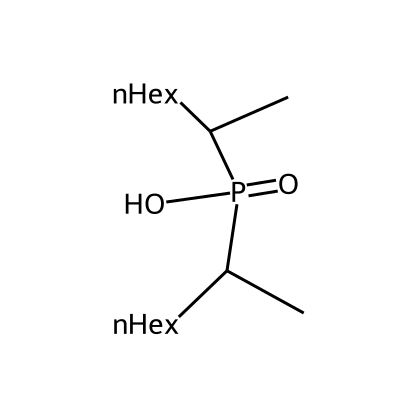 CCCCCCC(C)P(=O)(O)C(C)CCCCCC